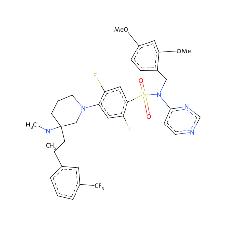 COc1ccc(CN(c2ccncn2)S(=O)(=O)c2cc(F)c(N3CCCC(CCc4cccc(C(F)(F)F)c4)(N(C)C)C3)cc2F)c(OC)c1